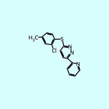 Cc1ccc(Sc2ccc(-c3ccccn3)nn2)c(Cl)c1